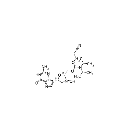 CC(C)N(C(C)C)P(OCCC#N)OC[C@H]1O[C@@H](n2cnc3c(=O)[nH]c(N)nc32)C[C@@H]1O